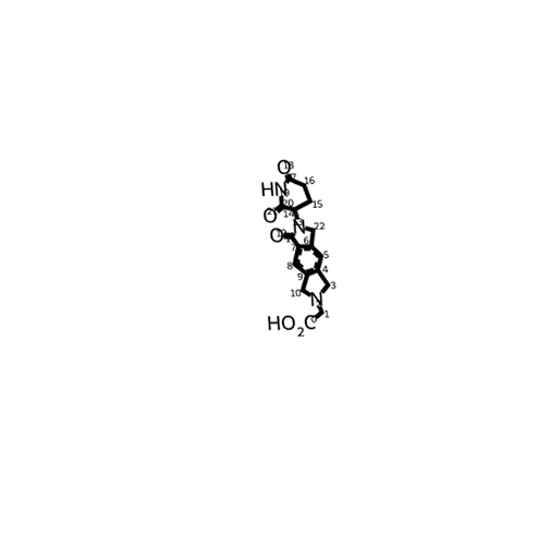 O=C(O)CN1Cc2cc3c(cc2C1)C(=O)N(C1CCC(=O)NC1=O)C3